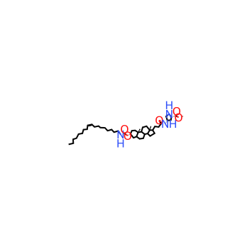 CCCCCCCC/C=C\CCCCCCCCNC(=O)O[C@@H]1CC[C@@]2(C)C(CCC3C2CC[C@]2(C)C(CCC(=O)N[C@@H]4CN[C@H](C(=O)OC)C4)CCC32)C1